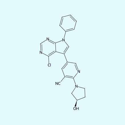 N#Cc1cc(-c2cn(-c3ccccc3)c3ncnc(Cl)c23)cnc1N1CC[C@@H](O)C1